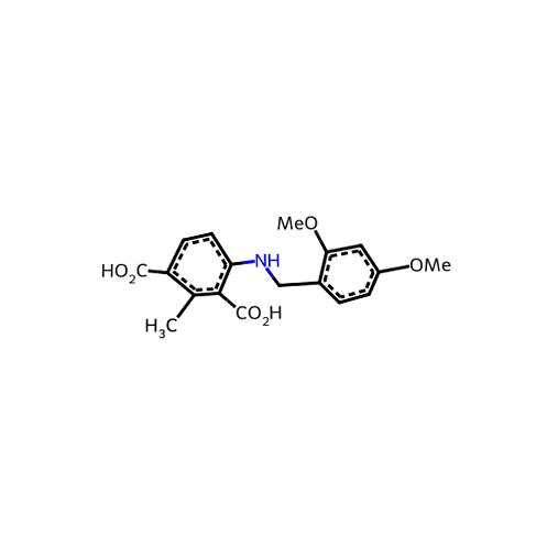 COc1ccc(CNc2ccc(C(=O)O)c(C)c2C(=O)O)c(OC)c1